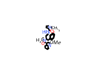 COc1cc(C(=O)N(C)C(CCNC(=O)c2cccn2C)Cc2ccccc2)c2ccccc2n1